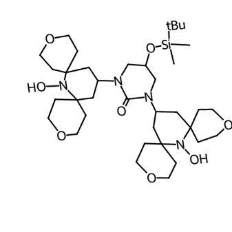 CC(C)(C)[Si](C)(C)OC1CN(C2CC3(CCOCC3)N(O)C3(CCOCC3)C2)C(=O)N(C2CC3(CCOCC3)N(O)C3(CCOCC3)C2)C1